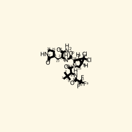 CC(C)(C)C(NC(=O)C(F)(F)F)C(=O)N1C[C@H]2[C@@H]([C@H]1C(=O)N[C@@H](C[C@@H]1CCNC1=O)C(N)=O)C2(Cl)Cl